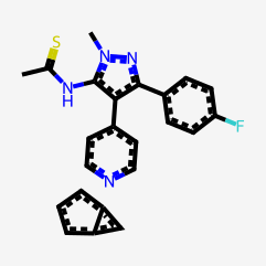 CC(=S)Nc1c(-c2ccncc2)c(-c2ccc(F)cc2)nn1C.c1cc2cc-2c1